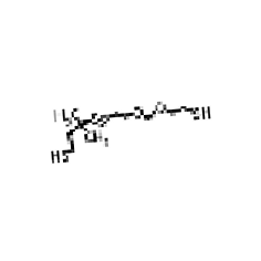 CC(C)(CCS)SSCCOCOCCS